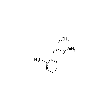 C=C/C(=C/c1ccccc1C)O[SiH3]